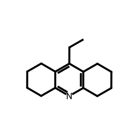 CCc1c2c(nc3c1CCCC3)CCCC2